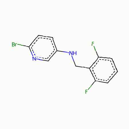 Fc1cccc(F)c1CNc1ccc(Br)nc1